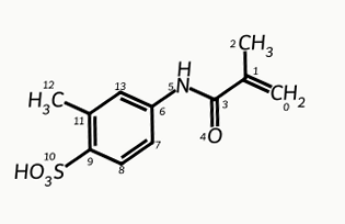 C=C(C)C(=O)Nc1ccc(S(=O)(=O)O)c(C)c1